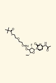 CC[C@H]1O[C@@H](n2ccc(NC(C)=O)nc2=O)[C@@H](F)C1OPOCCOCCSC(=O)C(C)(C)C